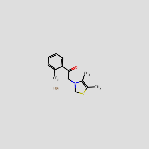 Br.CC1=C(C)N(CC(=O)c2ccccc2C(F)(F)F)CS1